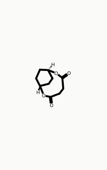 O=C1CCC(=O)O[C@H]2CC[C@@H](CC2)O1